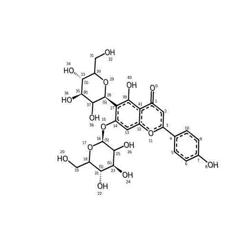 O=c1cc(-c2ccc(O)cc2)oc2cc(O[C@@H]3OC(CO)[C@@H](O)[C@H](O)C3O)c([C@@H]3OC(CO)[C@@H](O)[C@H](O)C3O)c(O)c12